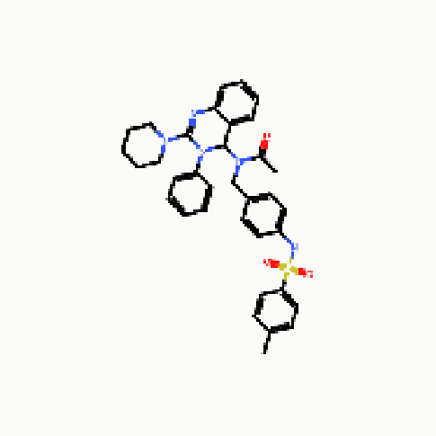 CC(=O)N(Cc1ccc(NS(=O)(=O)c2ccc(C)cc2)cc1)C1c2ccccc2N=C(N2CCCCC2)N1c1ccccc1